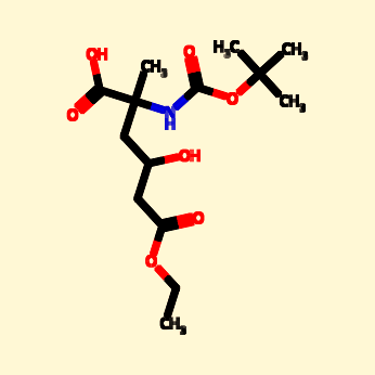 CCOC(=O)CC(O)CC(C)(NC(=O)OC(C)(C)C)C(=O)O